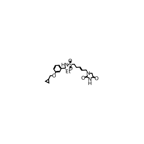 CC[C@@H](NS(=O)(=O)CC/C=C/CN1CC(=O)NC1=O)c1cccc(OCC2CC2)c1